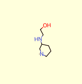 OCCNC1CCC[N]C1